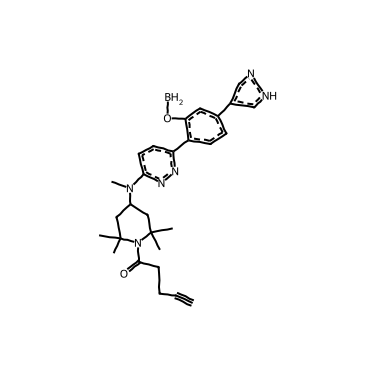 BOc1cc(-c2cn[nH]c2)ccc1-c1ccc(N(C)C2CC(C)(C)N(C(=O)CCC#C)C(C)(C)C2)nn1